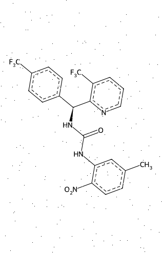 Cc1ccc([N+](=O)[O-])c(NC(=O)N[C@@H](c2ccc(C(F)(F)F)cc2)c2ncccc2C(F)(F)F)c1